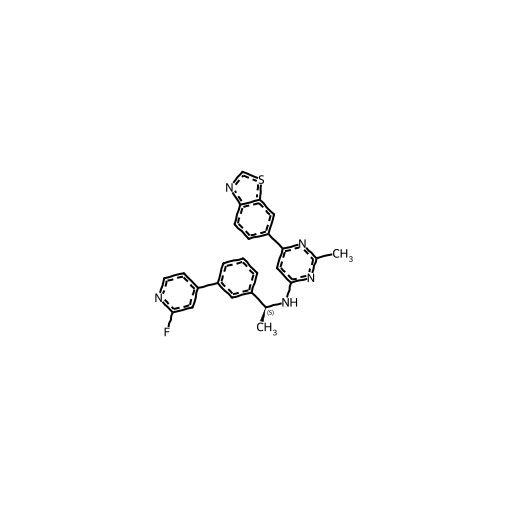 Cc1nc(N[C@@H](C)c2cccc(-c3ccnc(F)c3)c2)cc(-c2ccc3ncsc3c2)n1